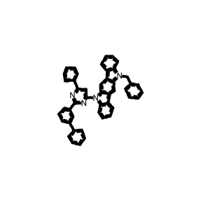 c1ccc(Cn2c3ccccc3c3cc4c(cc32)c2ccccc2n4-c2cc(-c3ccccc3)nc(-c3cccc(-c4ccccc4)c3)n2)cc1